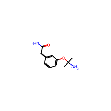 CC(C)(N)Oc1cccc(CC([NH])=O)c1